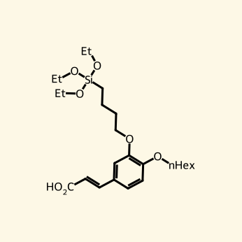 CCCCCCOc1ccc(C=CC(=O)O)cc1OCCCC[Si](OCC)(OCC)OCC